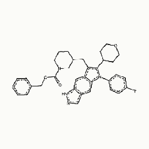 O=C(OCc1ccccc1)N1CCCC(Cc2c(C3CCOCC3)n(-c3ccc(F)cc3)c3cc4cn[nH]c4cc23)C1